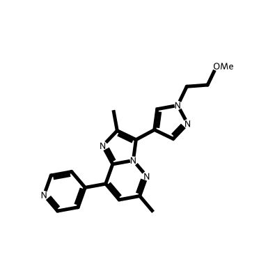 COCCn1cc(-c2c(C)nc3c(-c4ccncc4)cc(C)nn23)cn1